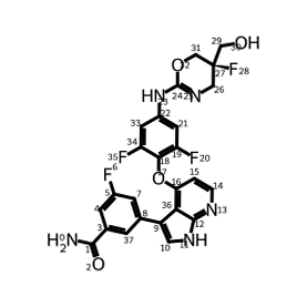 NC(=O)c1cc(F)cc(-c2c[nH]c3nccc(Oc4c(F)cc(NC5=NC[C@@](F)(CO)CO5)cc4F)c23)c1